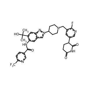 CC(C)(O)c1cc2nn(C3CCN(Cc4cc(C5CCC(=O)NC5=O)cnc4F)CC3)cc2cc1NC(=O)c1ccc(C(F)(F)F)nc1